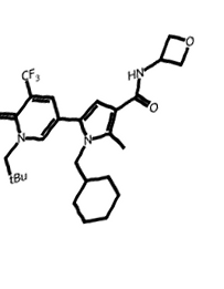 Cc1c(C(=O)NC2COC2)cc(-c2cc(C(F)(F)F)c(=O)n(CC(C)(C)C)c2)n1CC1CCCCC1